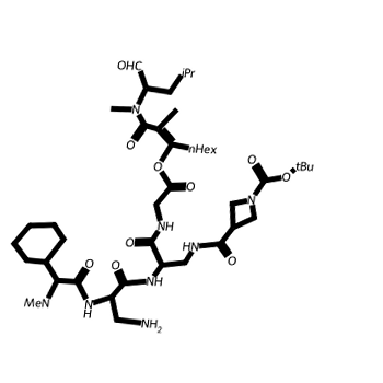 CCCCCC/C(OC(=O)CNC(=O)C(CNC(=O)C1CN(C(=O)OC(C)(C)C)C1)NC(=O)C(CN)NC(=O)C(NC)C1CCCCC1)=C(\C)C(=O)N(C)C(C=O)CC(C)C